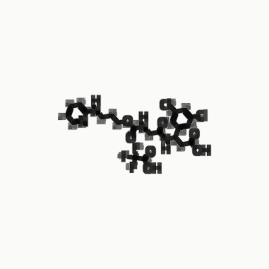 O=C(O)C(F)(F)F.O=C(O)CC(NC(=O)CNC(=O)OCCCNc1ccccn1)c1cc(Cl)cc(Cl)c1